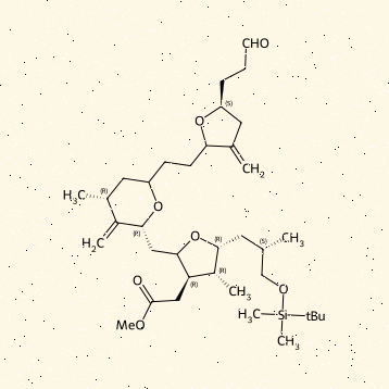 C=C1C[C@H](CCC=O)OC1CCC1C[C@@H](C)C(=C)[C@@H](CC2O[C@H](C[C@H](C)CO[Si](C)(C)C(C)(C)C)[C@H](C)[C@H]2CC(=O)OC)O1